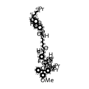 COc1ccc(C(OC[C@H]2O[C@@H](c3cc(CNC(=O)CCCCCNC(=O)O[C@H]4CC[C@@]5(C)C(CCC6[C@@H]7CC[C@H]([C@H](C)CCCC(C)C)C7(C)CC[C@@H]65)C4)c(F)cc3F)C(O[SiH](C)C)C2OPN(C(C)C)C(C)C)(c2ccccc2)c2ccccc2)cc1